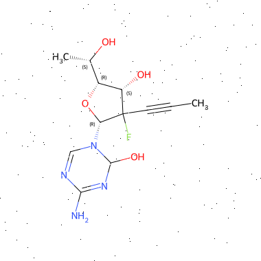 CC#CC1(F)[C@@H](O)[C@@H]([C@H](C)O)O[C@H]1N1C=NC(N)=NC1O